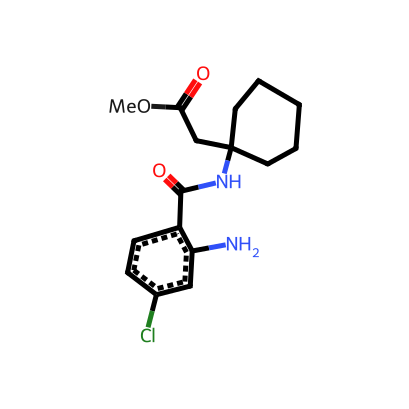 COC(=O)CC1(NC(=O)c2ccc(Cl)cc2N)CCCCC1